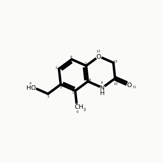 Cc1c(CO)ccc2c1NC(=O)CO2